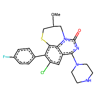 COC1CSc2c(-c3ccc(F)cc3)c(Cl)cc3c(N4CCNCC4)nc(=O)n(c23)C1